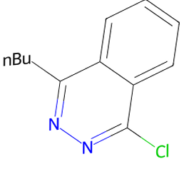 CCCCc1nnc(Cl)c2ccccc12